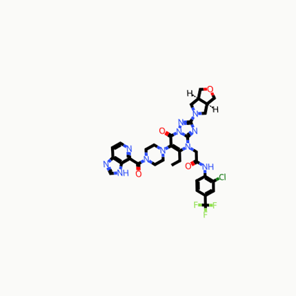 CCc1c(N2CCN(C(=O)c3nccc4nc[nH]c34)CC2)c(=O)n2nc(N3C[C@H]4COC[C@H]4C3)nc2n1CC(=O)Nc1ccc(C(F)(F)F)cc1Cl